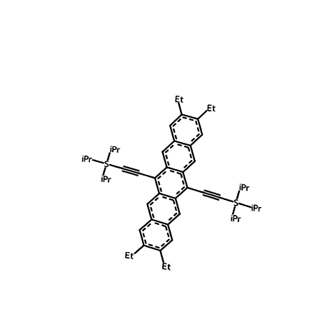 CCc1cc2cc3c(C#CS(C(C)C)(C(C)C)C(C)C)c4cc5cc(CC)c(CC)cc5cc4c(C#CS(C(C)C)(C(C)C)C(C)C)c3cc2cc1CC